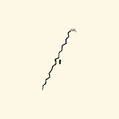 C=C.CCCCCCCCCCCCCCCCCCN